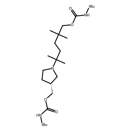 CC(C)(CCC(C)(C)N1CC[C@@H](COC(=O)NC(C)(C)C)C1)COC(=O)NC(C)(C)C